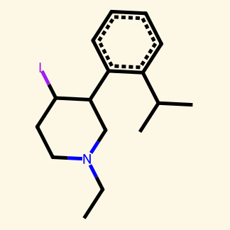 CCN1CCC(I)C(c2ccccc2C(C)C)C1